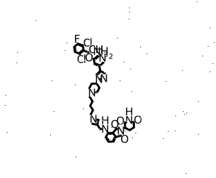 CC(Oc1cc(-c2cnn(C3CCN(CCCCCN4CC(CNc5cccc6c5C(=O)N(C5CCC(=O)NC5=O)C6=O)C4)CC3)c2)cnc1N)c1c(Cl)ccc(F)c1Cl